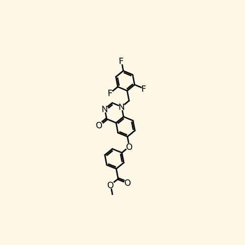 COC(=O)c1cccc(Oc2ccc3c(c2)c(=O)ncn3Cc2c(F)cc(F)cc2F)c1